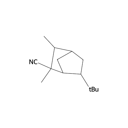 CC1C2CC(C(C)(C)C)C(C2)C1(C)C#N